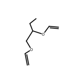 C=COCC(CC)OC=C